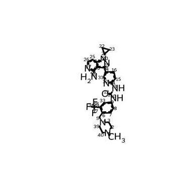 CN1CCN(Cc2ccc(NC(=O)Nc3ccc(-c4nn(C5CC5)c5ccnc(N)c45)cn3)cc2C(F)(F)F)CC1